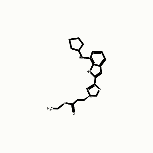 CCOC(=O)CC[C@@H]1CSC(c2cc3cccc(NC4CCCC4)c3[nH]2)=N1